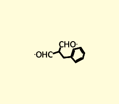 O=[C]C([C]=O)Cc1ccccc1